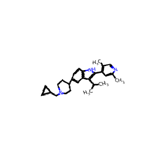 Cc1cc(-c2[nH]c3ccc(C4CCN(CC5CC5)CC4)cc3c2C(C)C)c(C)cn1